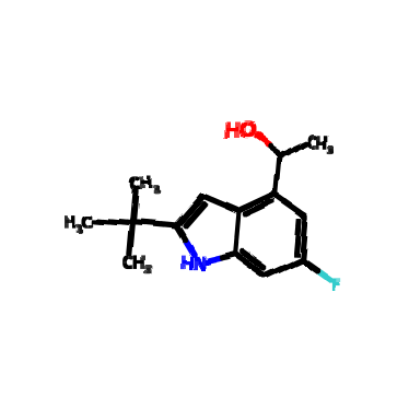 CC(O)c1cc(F)cc2[nH]c(C(C)(C)C)cc12